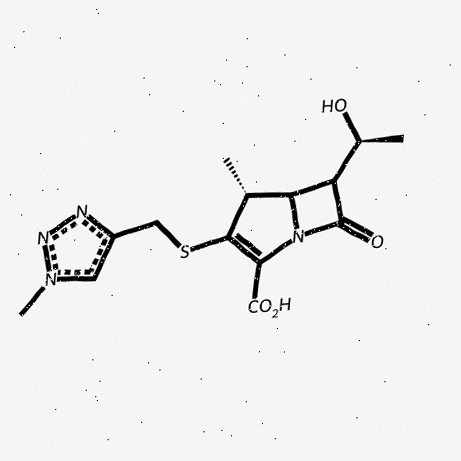 C[C@H](O)C1C(=O)N2C(C(=O)O)=C(SCc3cn(C)nn3)[C@H](C)C12